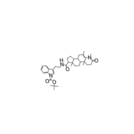 CC1=C2N(C)C(=O)CCC2(C)C2CCC3(C)C(C(=O)NCCc4cn(C(=O)OC(C)(C)C)c5ccccc45)CCC3C2C1